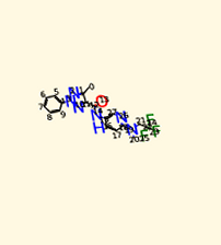 Cc1nn(-c2ccccc2)nc1C(=O)Nc1ccc(N(C)CC(F)(F)F)nc1